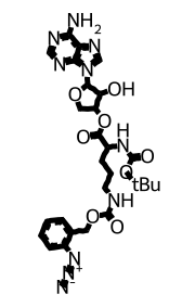 CC(C)(C)OC(=O)NC(CCCNC(=O)OCc1ccccc1N=[N+]=[N-])C(=O)OC1COC(n2cnc3c(N)ncnc32)C1O